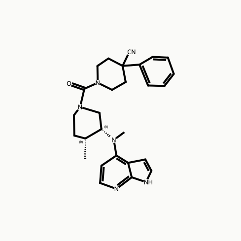 C[C@@H]1CCN(C(=O)N2CCC(C#N)(c3ccccc3)CC2)C[C@@H]1N(C)c1ccnc2[nH]ccc12